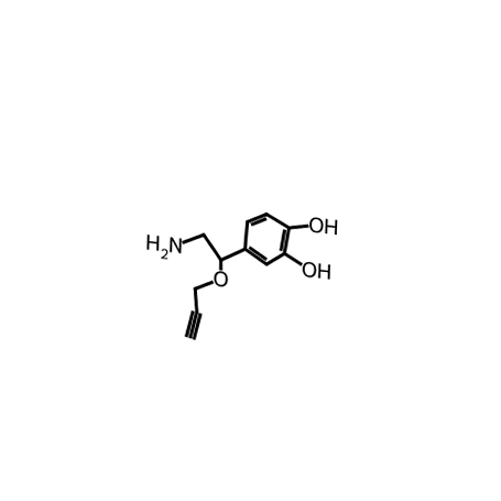 C#CCOC(CN)c1ccc(O)c(O)c1